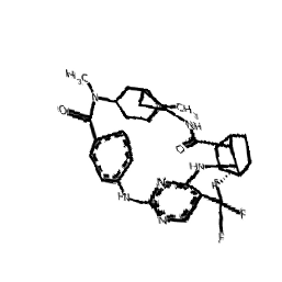 CN1CCC(N(C)C(=O)c2ccc(Nc3ncc(C(F)(F)F)c(N[C@@H]4C5CCC(CC5)C4C(=O)NC4CC4)n3)cc2)CC1